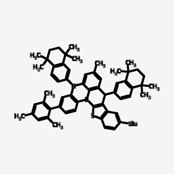 Cc1cc(C)c(-c2ccc3c(c2)N(c2ccc4c(c2)C(C)(C)CCC4(C)C)c2cc(C)cc4c2B3c2sc3ccc(C(C)(C)C)cc3c2C4c2ccc3c(c2)C(C)(C)CCC3(C)C)c(C)c1